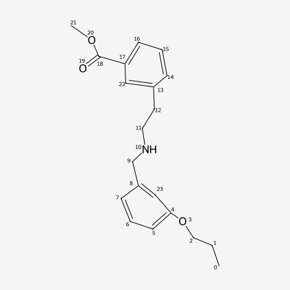 CCCOc1cccc(CNCCc2cccc(C(=O)OC)c2)c1